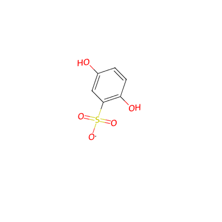 [O]S(=O)(=O)c1cc(O)ccc1O